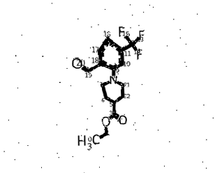 CCOC(=O)C1CCN(c2cc(C(F)(F)F)ccc2C=O)CC1